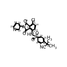 CC(C)(C#N)c1ccc(S(=O)(=O)Nc2ccc(Cl)c3c2C(=O)N(c2cccnc2)C3=O)cc1